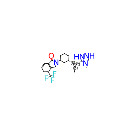 C[C@@H]1[C@@H](C2NNCN2C)[C@H]1C1CCCC(N2Cc3c(cccc3C(F)(F)F)C2=O)C1